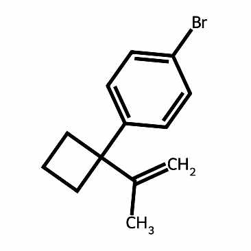 C=C(C)C1(c2ccc(Br)cc2)CCC1